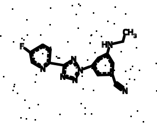 CCNc1cc(C#N)cc(-n2nnc(-c3ccc(F)cn3)n2)c1